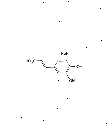 O=C(O)C=Cc1ccc(O)c(O)c1.[NaH]